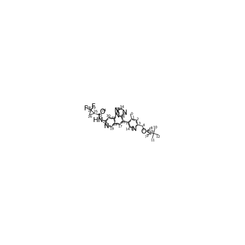 Cc1cc(CO[Si](C)(C)C(C)(C)C)ncc1-c1cc2cnc(NC(=O)[C@H]3CC3(F)F)cc2n2ncnc12